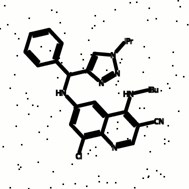 CCC(C)Nc1c(C#N)cnc2c(Cl)cc(NC(c3ccccc3)c3cn(C(C)C)nn3)cc12